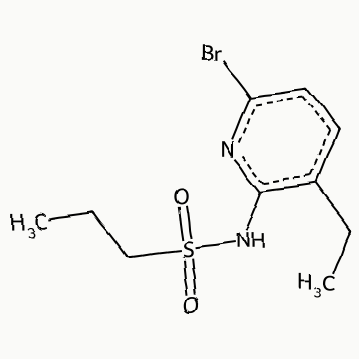 CCCS(=O)(=O)Nc1nc(Br)ccc1CC